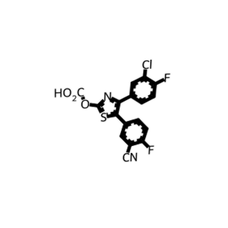 N#Cc1cc(-c2sc(OC(=O)O)nc2-c2ccc(F)c(Cl)c2)ccc1F